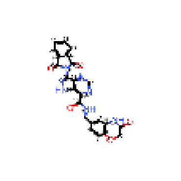 O=C1COc2ccc(CNC(=O)c3ncnc4c(N5C(=O)c6ccccc6C5=O)n[nH]c34)cc2N1